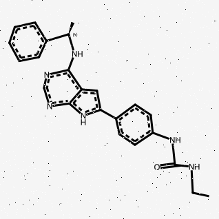 CCNC(=O)Nc1ccc(-c2cc3c(N[C@H](C)c4ccccc4)ncnc3[nH]2)cc1